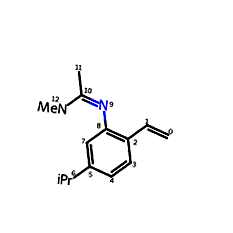 C=Cc1ccc(C(C)C)cc1/N=C(/C)NC